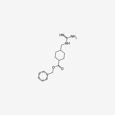 N=C(N)NCC1CCC(C(=O)OCc2ccccc2)CC1